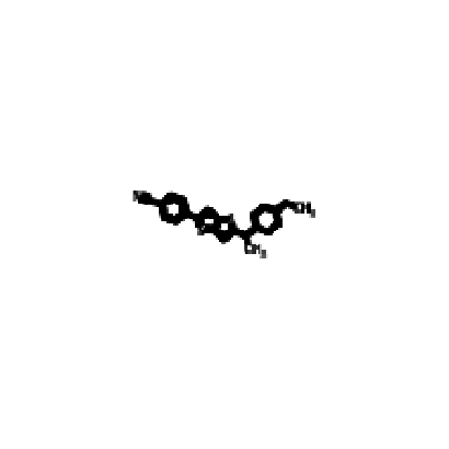 CCC1CCC(C(C)c2cc3sc(-c4ccc(C#N)cc4)cc3s2)CC1